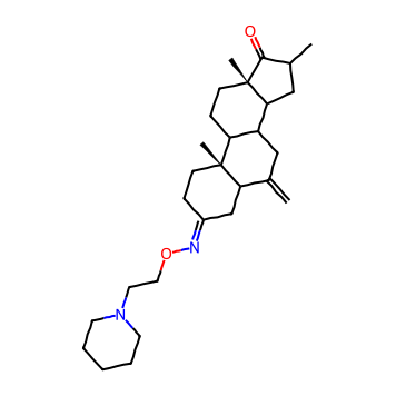 C=C1CC2C(CC[C@]3(C)C(=O)C(C)CC23)[C@@]2(C)CCC(=NOCCN3CCCCC3)CC12